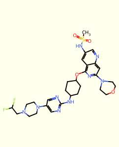 CS(=O)(=O)Nc1cnc2cc(N3CCOCC3)nc(OC3CCC(Nc4ncc(N5CCN(CC(F)F)CC5)cn4)CC3)c2c1